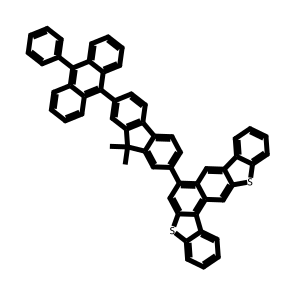 CC1(C)c2cc(-c3c4ccccc4c(-c4ccccc4)c4ccccc34)ccc2-c2ccc(-c3cc4sc5ccccc5c4c4cc5sc6ccccc6c5cc34)cc21